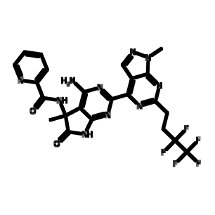 Cn1ncc2c(-c3nc(N)c4c(n3)NC(=O)C4(C)NC(=O)c3ccccn3)nc(CCC(F)(F)C(F)(F)F)nc21